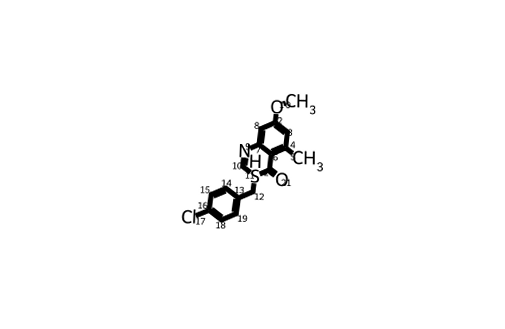 COc1cc(C)c2c(c1)N=C[SH](Cc1ccc(Cl)cc1)C2=O